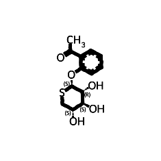 CC(=O)c1ccccc1O[C@H]1SC[C@@H](O)[C@H](O)[C@H]1O